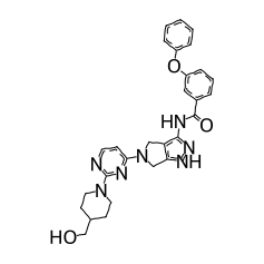 O=C(Nc1n[nH]c2c1CN(c1ccnc(N3CCC(CO)CC3)n1)C2)c1cccc(Oc2ccccc2)c1